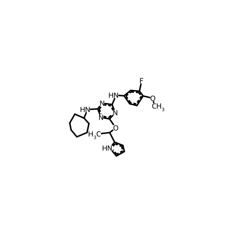 COc1ccc(Nc2nc(NC3CCCCCC3)nc(OC(C)c3ccc[nH]3)n2)cc1F